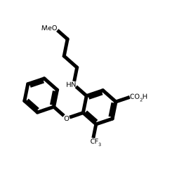 COCCCNc1cc(C(=O)O)cc(C(F)(F)F)c1Oc1ccccc1